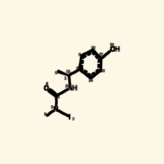 C[C@H](NC(=O)N(C)I)c1ccc(O)cc1